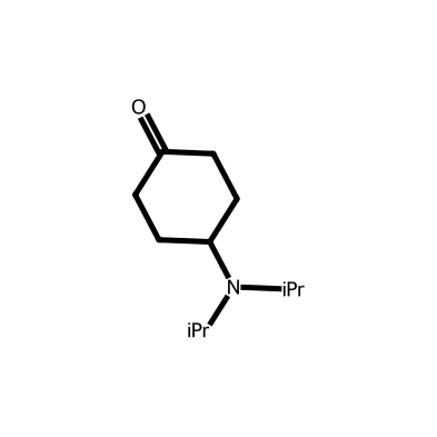 CC(C)N(C(C)C)C1CCC(=O)CC1